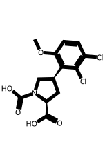 COc1ccc(Cl)c(Cl)c1[C@H]1C[C@@H](C(=O)O)N(C(=O)O)C1